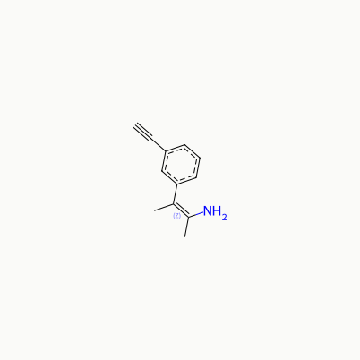 C#Cc1cccc(/C(C)=C(/C)N)c1